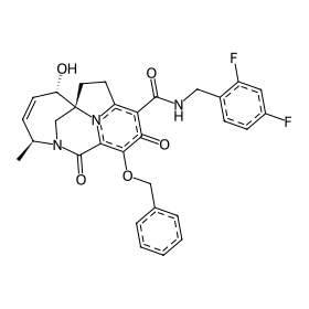 C[C@H]1C=C[C@H](O)[C@]23CCc4c(C(=O)NCc5ccc(F)cc5F)c(=O)c(OCc5ccccc5)c(n42)C(=O)N1C3